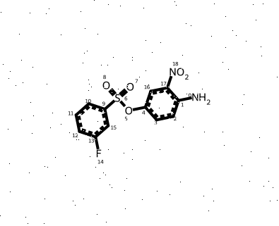 Nc1ccc(OS(=O)(=O)c2cccc(F)c2)cc1[N+](=O)[O-]